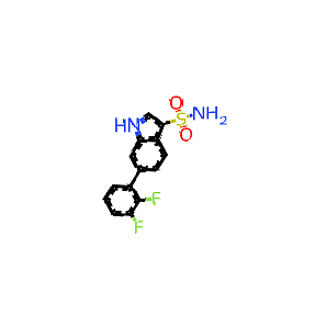 NS(=O)(=O)c1c[nH]c2cc(-c3cccc(F)c3F)ccc12